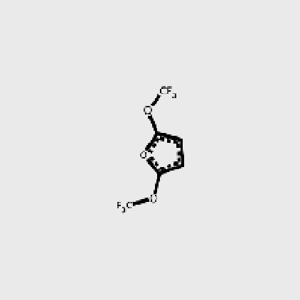 FC(F)(F)Oc1ccc(OC(F)(F)F)o1